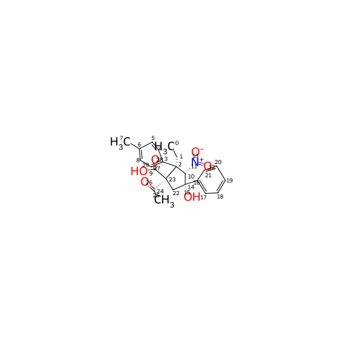 CC[C@]1(c2ccc(C)cc2)[C@H]([N+](=O)[O-])[C@@](O)(c2ccccc2)C[C@@]1(C(C)=O)C(=O)O